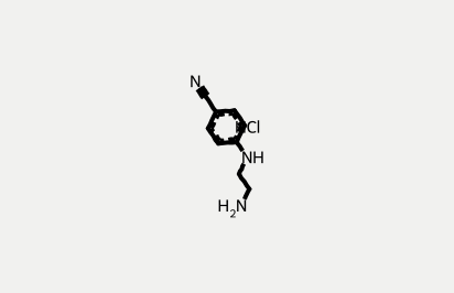 Cl.N#Cc1ccc(NCCN)cc1